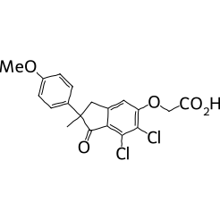 COc1ccc(C2(C)Cc3cc(OCC(=O)O)c(Cl)c(Cl)c3C2=O)cc1